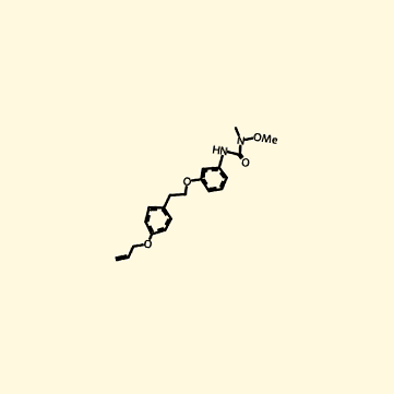 C=CCOc1ccc(CCOc2cccc(NC(=O)N(C)OC)c2)cc1